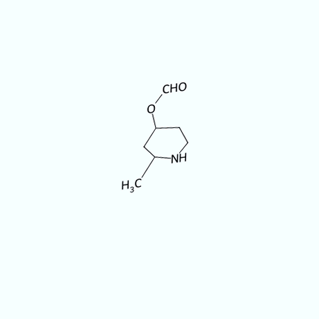 CC1CC(OC=O)CCN1